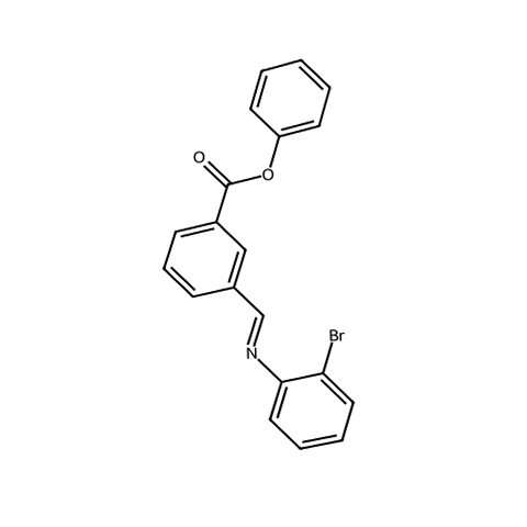 O=C(Oc1ccccc1)c1cccc(C=Nc2ccccc2Br)c1